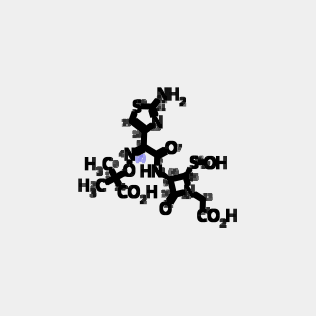 CC(C)(O/N=C(\C(=O)N[C@@H]1C(=O)N(CC(=O)O)[C@@H]1SO)c1csc(N)n1)C(=O)O